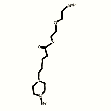 CCCN1CCN(CCCCC(=O)NCCOCCSC)CC1